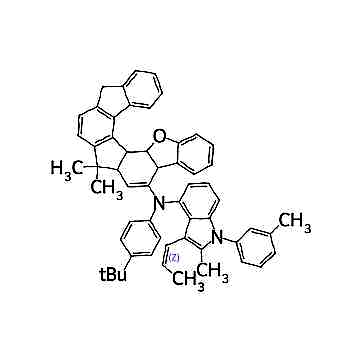 C/C=C\c1c(C)n(-c2cccc(C)c2)c2cccc(N(C3=CC4C(c5c(ccc6c5-c5ccccc5C6)C4(C)C)C4Oc5ccccc5C34)c3ccc(C(C)(C)C)cc3)c12